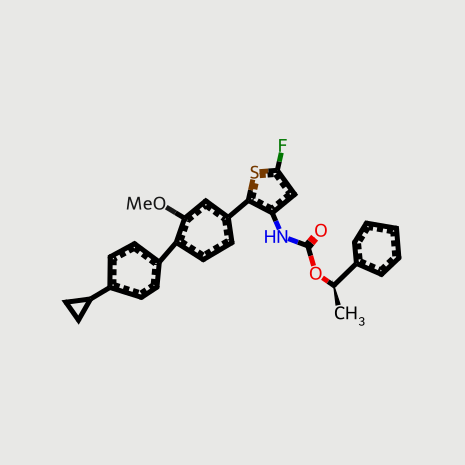 COc1cc(-c2sc(F)cc2NC(=O)O[C@H](C)c2ccccc2)ccc1-c1ccc(C2CC2)cc1